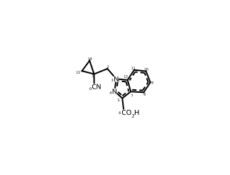 N#CC1(Cn2nc(C(=O)O)c3ccccc32)CC1